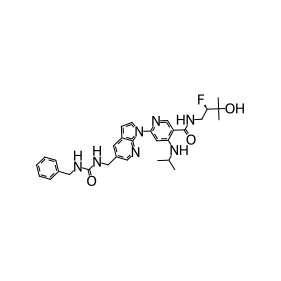 CC(C)Nc1cc(-n2ccc3cc(CNC(=O)NCc4ccccc4)cnc32)ncc1C(=O)NC[C@@H](F)C(C)(C)O